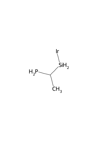 CC(P)[SiH2][Ir]